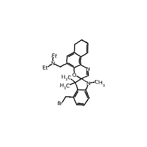 CCN(CC)Cc1cc2c(c3c1OC1(C=N3)N(C)c3cccc(CBr)c3C1(C)C)C=CCC2